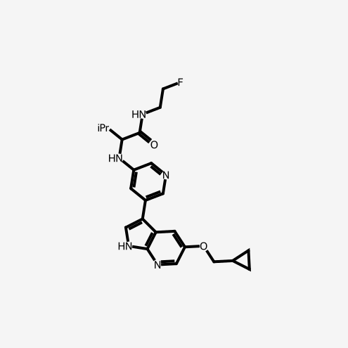 CC(C)C(Nc1cncc(-c2c[nH]c3ncc(OCC4CC4)cc23)c1)C(=O)NCCF